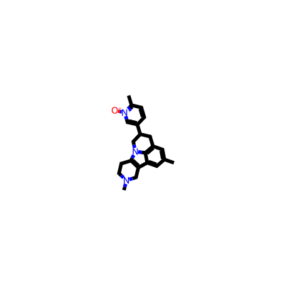 Cc1cc2c3c(c1)c1c(n3CC(c3ccc(C)[n+]([O-])c3)C2)CCN(C)C1